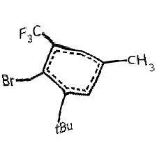 Cc1cc(C(C)(C)C)c(Br)c(C(F)(F)F)c1